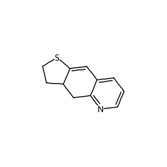 C1=C2SCCC2Cc2ncccc21